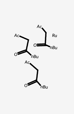 CCCCC(=O)CC(C)=O.CCCCC(=O)CC(C)=O.CCCCC(=O)CC(C)=O.[Ru]